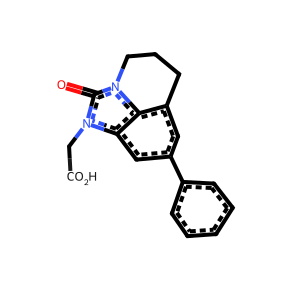 O=C(O)Cn1c(=O)n2c3c(cc(-c4ccccc4)cc31)CCC2